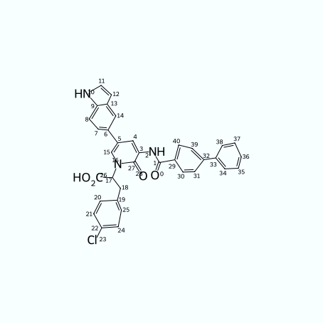 O=C(Nc1cc(-c2ccc3[nH]ccc3c2)cn(C(Cc2ccc(Cl)cc2)C(=O)O)c1=O)c1ccc(-c2ccccc2)cc1